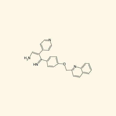 N=C(/C(=C\N)c1ccncc1)c1ccc(OCc2ccc3ccccc3n2)cc1